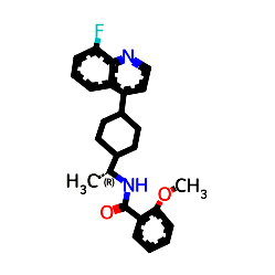 COc1ccccc1C(=O)N[C@H](C)C1CCC(c2ccnc3c(F)cccc23)CC1